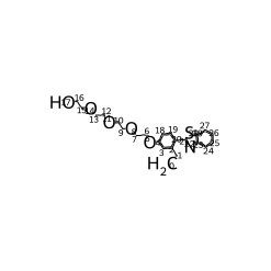 C=Cc1cc(OCCOCCOCCOCCO)ccc1-c1nc2ccccc2s1